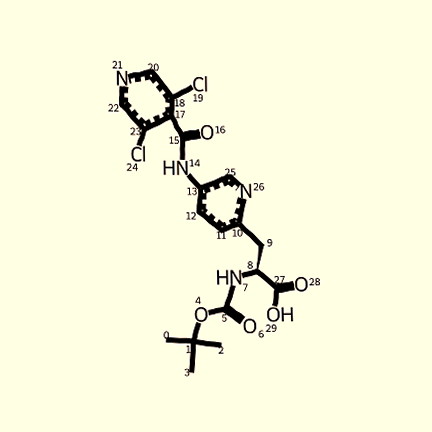 CC(C)(C)OC(=O)N[C@@H](Cc1ccc(NC(=O)c2c(Cl)cncc2Cl)cn1)C(=O)O